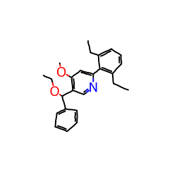 CCOC(c1ccccc1)c1cnc(-c2c(CC)cccc2CC)cc1OC